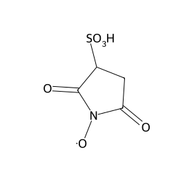 [O]N1C(=O)CC(S(=O)(=O)O)C1=O